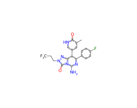 Cc1cc(-c2c(-c3ccc(F)cc3)nc(N)n3c(=O)n(CCC(F)(F)F)nc23)c[nH]c1=O